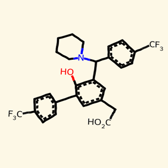 O=C(O)Cc1cc(-c2ccc(C(F)(F)F)cc2)c(O)c(C(c2ccc(C(F)(F)F)cc2)N2CCCCC2)c1